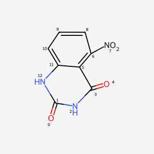 O=c1[nH]c(=O)c2c([N+](=O)[O-])cccc2[nH]1